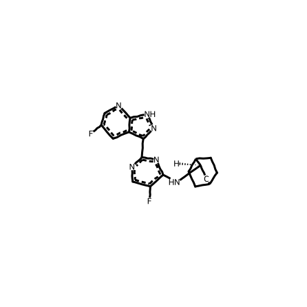 Fc1cnc2[nH]nc(-c3ncc(F)c(N[C@@H]4CC5CCC4CC5)n3)c2c1